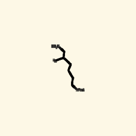 [2H]C(CCCCCCCCC)CC(=O)O